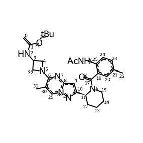 C=C(NC1CN(c2nc3cc([C@@H]4CCCCN4C(=O)c4cc(C)ccc4NC(C)=O)nn3cc2C)C1)OC(C)(C)C